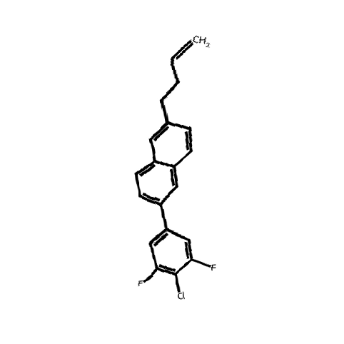 C=CCCc1ccc2cc(-c3cc(F)c(Cl)c(F)c3)ccc2c1